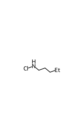 CCCCCNCl